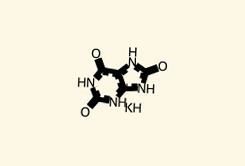 O=c1[nH]c(=O)c2[nH]c(=O)[nH]c2[nH]1.[KH]